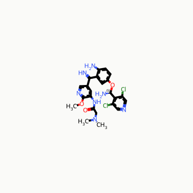 COc1ncc(C(=N)c2cc(O[C@H](N)c3c(Cl)cncc3Cl)ccc2N)cc1NC(=O)CN(C)C